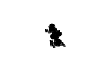 Cc1nn2cccnc2c1C(=O)NC(C)c1nc2cccc(C#Cc3cnn(C)c3C(C)C(N)=O)c2c(=O)n1-c1ccccc1